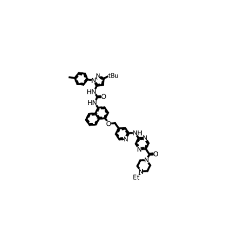 CCN1CCN(C(=O)c2cnc(Nc3cc(COc4ccc(NC(=O)Nc5cc(C(C)(C)C)nn5-c5ccc(C)cc5)c5ccccc45)ccn3)cn2)CC1